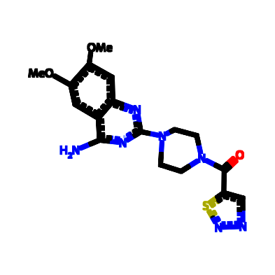 COc1cc2nc(N3CCN(C(=O)c4cnns4)CC3)nc(N)c2cc1OC